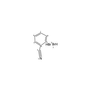 Br.Br.N#Cc1ccccc1